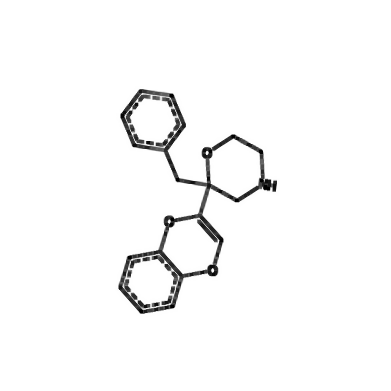 C1=C(C2(Cc3ccccc3)CNCCO2)Oc2ccccc2O1